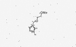 COCCOC[n+]1ccn(C)c1